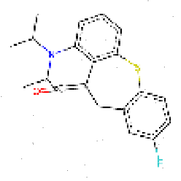 CC(C)N(c1cccc2c1C(=C=O)Cc1cc(F)ccc1S2)C(C)C